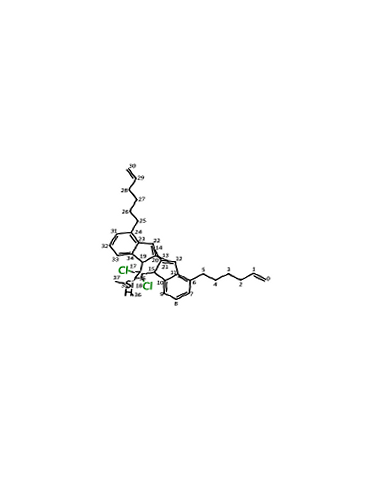 C=CCCCCc1cccc2c1C=C(C)[CH]2[Zr]([Cl])([Cl])([CH]1C(C)=Cc2c(CCCCC=C)cccc21)[SiH](C)C